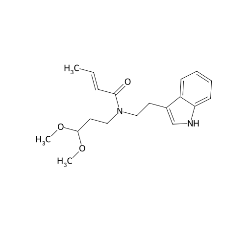 C/C=C/C(=O)N(CCc1c[nH]c2ccccc12)CCC(OC)OC